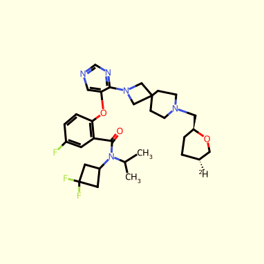 [2H][C@@H]1CC[C@@H](CN2CCC3(CC2)CN(c2ncncc2Oc2ccc(F)cc2C(=O)N(C(C)C)C2CC(F)(F)C2)C3)OC1